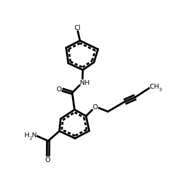 CC#CCOc1ccc(C(N)=O)cc1C(=O)Nc1ccc(Cl)cc1